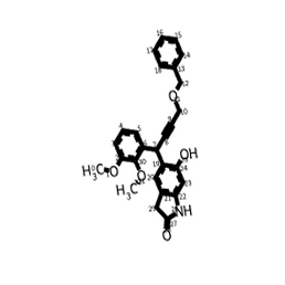 COc1cccc(C(C#CCOCc2ccccc2)c2cc3c(cc2O)NC(=O)C3)c1OC